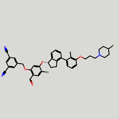 Cc1c(OCCCN2CCC(F)CC2)cccc1-c1cccc2c1CC[C@@H]2Oc1cc(OCc2cc(C#N)cc(C#N)c2)c(C=O)cc1Cl